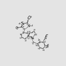 CN1C(=O)SC(=O)C1c1cccc2c1ccn2Cc1ccc(F)c(F)c1